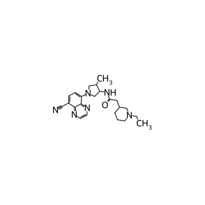 CCN1CCCC(CC(=O)NC2CN(c3ccc(C#N)c4nccnc34)CC2C)C1